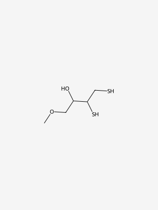 COCC(O)C(S)CS